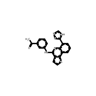 CC(=O)c1cccc(Nc2nc3c(-c4nnc[nH]4)cccc3c3sccc23)c1